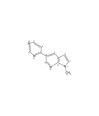 Cn1ccc2cc(-c3ccncn3)cnc21